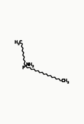 CCCCCCCCCCCCCCCCCCC(N)(F)CCCCCCCCCCC